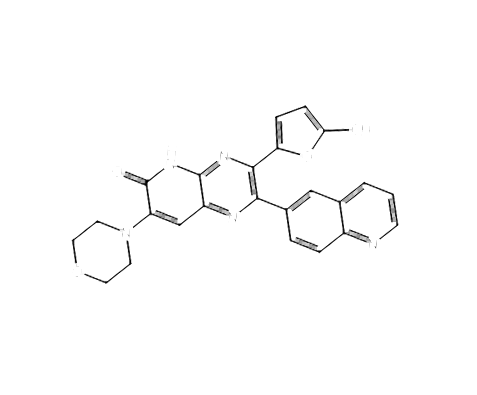 Cc1ccc(-c2nc3[nH]c(=O)c(N4CCOCC4)cc3nc2-c2ccc3ncccc3c2)o1